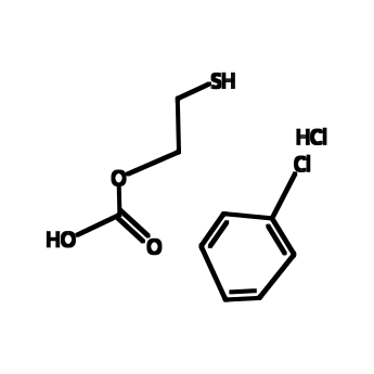 Cl.Clc1ccccc1.O=C(O)OCCS